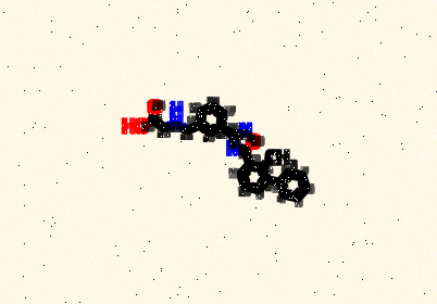 Cc1c(-c2ccccc2)cccc1-c1nc(-c2cccc(CNCC(=O)O)c2)no1